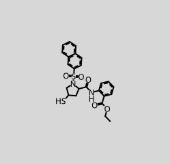 CCOC(=O)c1ccccc1NC(=O)C1CC(S)CN1S(=O)(=O)c1ccc2ccccc2c1